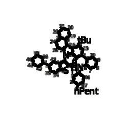 CCCCCc1ccc(Nc2ccccc2-c2cc(C(C)(C)C)c3c4c5ccccc5ccc4n4c3c2Bc2sc3ccc(-c5ccccc5)cc3c2-4)cc1